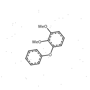 COc1cccc(Oc2ccccc2)c1OC